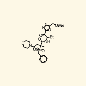 CCC(NC(=O)C(C)(CC(=O)N1CCOCC1)S(=O)(=O)Cc1ccccc1)C(=O)c1nnc(COC)o1